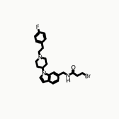 O=C(CCBr)NCc1ccc2ccn(C3CCN(CCc4ccc(F)cc4)CC3)c2c1